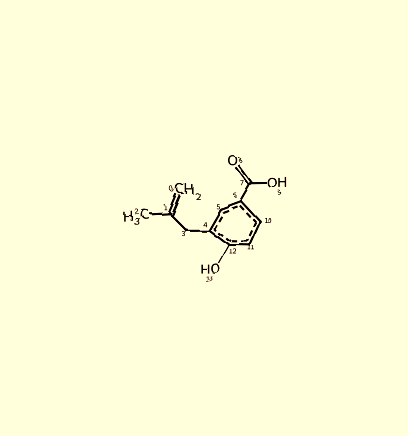 C=C(C)Cc1cc(C(=O)O)ccc1O